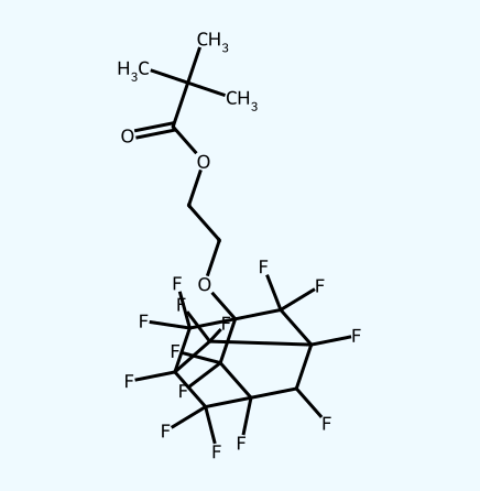 CC(C)(C)C(=O)OCCOC12C(F)(F)C3(F)C(F)C(F)(C(F)(F)C(F)(C3(F)F)C1(F)F)C2(F)F